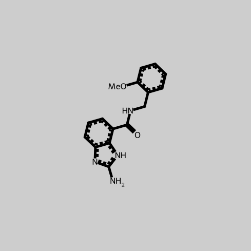 COc1ccccc1CNC(=O)c1cccc2nc(N)[nH]c12